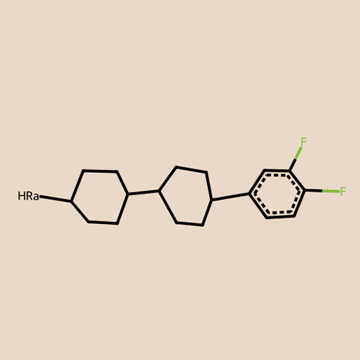 Fc1ccc(C2CCC(C3CC[CH]([RaH])CC3)CC2)cc1F